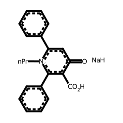 CCCn1c(-c2ccccc2)cc(=O)c(C(=O)O)c1-c1ccccc1.[NaH]